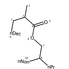 CCCCCCCCCCCC(C)C(=O)OCC(CCC)CCCCCCCCC